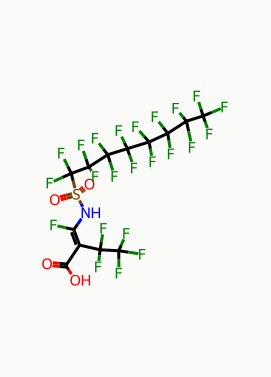 O=C(O)C(=C(F)NS(=O)(=O)C(F)(F)C(F)(F)C(F)(F)C(F)(F)C(F)(F)C(F)(F)C(F)(F)C(F)(F)F)C(F)(F)C(F)(F)F